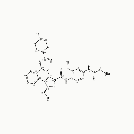 C=Cc1cc(NC(=O)OC(C)(C)C)ccc1NC(=O)N1C[C@@H](CBr)c2c1cc(OC(=O)N1CCN(C)CC1)c1ccccc21